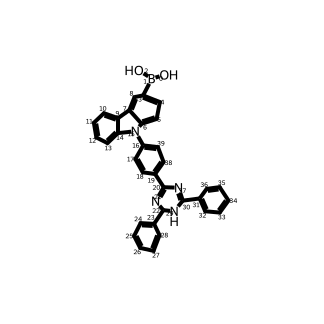 OB(O)c1ccc2c(c1)c1ccccc1n2-c1ccc(C2=NC(c3ccccc3)NC(c3ccccc3)=N2)cc1